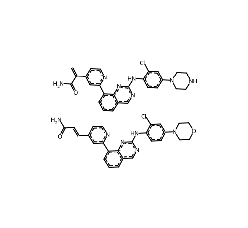 C=C(C(N)=O)c1ccnc(-c2cccc3cnc(Nc4ccc(N5CCNCC5)cc4Cl)nc23)c1.NC(=O)C=Cc1ccnc(-c2cccc3cnc(Nc4ccc(N5CCOCC5)cc4Cl)nc23)c1